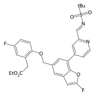 CCOC(=O)Cc1cc(F)ccc1OCc1cc(-c2ccnc(C=NS(=O)(=O)C(C)(C)C)c2)c2oc(F)cc2c1